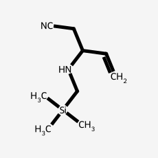 C=CC(CC#N)NC[Si](C)(C)C